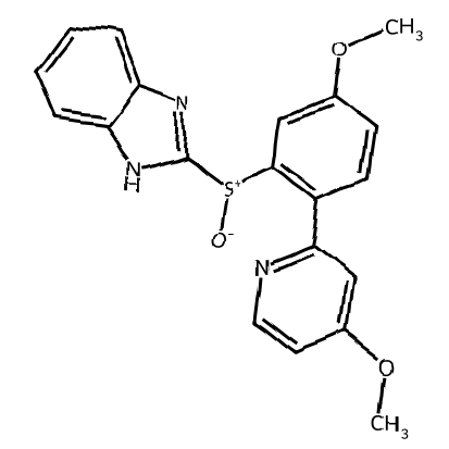 COc1ccnc(-c2ccc(OC)cc2[S+]([O-])c2nc3ccccc3[nH]2)c1